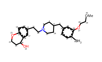 Bc1ccc(CC2CCN(CCc3ccc4c(c3)C(O)CCO4)CC2)cc1OCCOC